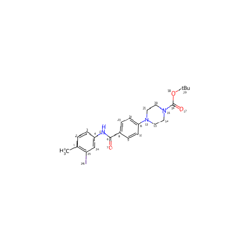 Cc1ccc(NC(=O)c2ccc(N3CCN(C(=O)OC(C)(C)C)CC3)cc2)cc1I